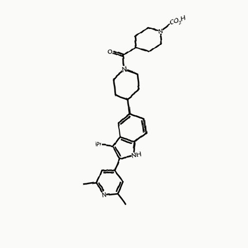 Cc1cc(-c2[nH]c3ccc(C4CCN(C(=O)C5CCN(C(=O)O)CC5)CC4)cc3c2C(C)C)cc(C)n1